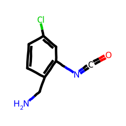 NCc1ccc(Cl)cc1N=C=O